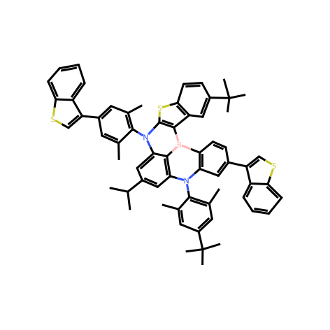 Cc1cc(C(C)(C)C)cc(C)c1N1c2cc(-c3csc4ccccc34)ccc2B2c3c1cc(C(C)C)cc3N(c1c(C)cc(-c3csc4ccccc34)cc1C)c1sc3ccc(C(C)(C)C)cc3c12